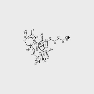 C=C1C[C@]23C[C@H]1CC[C@H]2C1=C[C@@H](O)[C@H](O)[C@@](C)(C(=O)I)[C@H]1[C@@H]3C(=O)NCCCCO